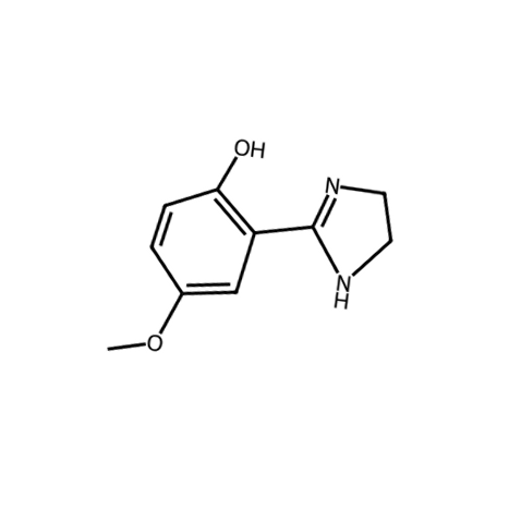 COc1ccc(O)c(C2=NCCN2)c1